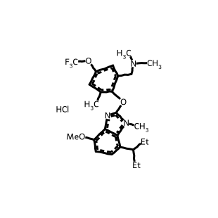 CCC(CC)c1ccc(OC)c2nc(Oc3c(C)cc(OC(F)(F)F)cc3CN(C)C)n(C)c12.Cl